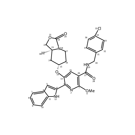 COc1nc(-c2cc3ccccc3[nH]2)c(O[C@H]2CCN3C(=O)OC[C@@H]3C2)cc1C(=O)NCc1ccc(Cl)cc1